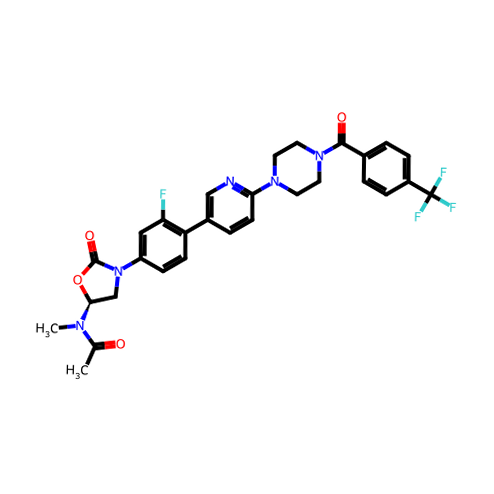 CC(=O)N(C)[C@@H]1CN(c2ccc(-c3ccc(N4CCN(C(=O)c5ccc(C(F)(F)F)cc5)CC4)nc3)c(F)c2)C(=O)O1